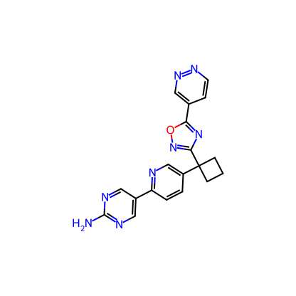 Nc1ncc(-c2ccc(C3(c4noc(-c5ccnnc5)n4)CCC3)cn2)cn1